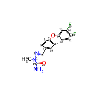 CN(N=Cc1ccc(Oc2ccc(F)c(F)c2)cc1)C(N)=O